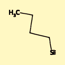 CCCC[Si]